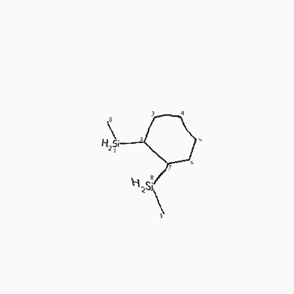 C[SiH2]C1CCCCC1[SiH2]C